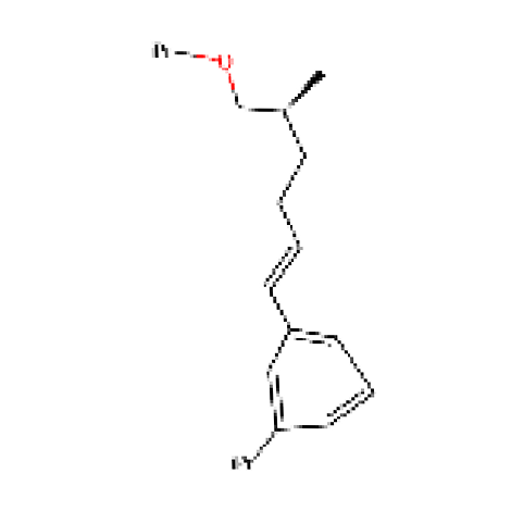 CC(C)OC[C@@H](C)CC/C=C/c1cccc(C(C)C)c1